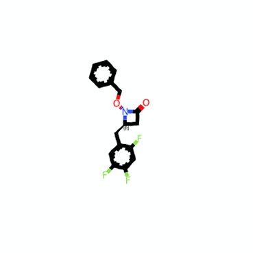 O=C1C[C@@H](Cc2cc(F)c(F)cc2F)N1OCc1ccccc1